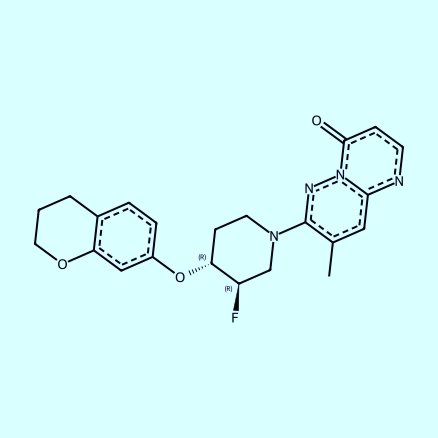 Cc1cc2nccc(=O)n2nc1N1CC[C@@H](Oc2ccc3c(c2)OCCC3)[C@H](F)C1